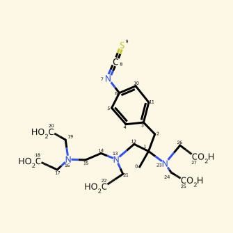 CC(Cc1ccc(N=C=S)cc1)(CN(CCN(CC(=O)O)CC(=O)O)CC(=O)O)N(CC(=O)O)CC(=O)O